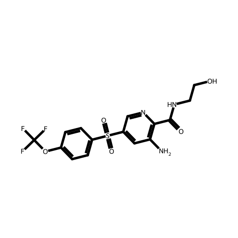 Nc1cc(S(=O)(=O)c2ccc(OC(F)(F)F)cc2)cnc1C(=O)NCCO